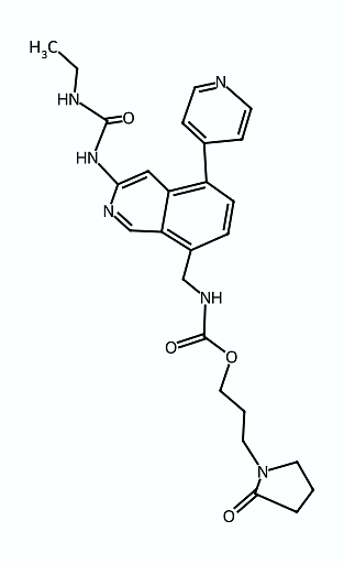 CCNC(=O)Nc1cc2c(-c3ccncc3)ccc(CNC(=O)OCCCN3CCCC3=O)c2cn1